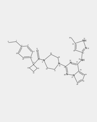 CCc1ccc(C2(C(=O)N3CCN(c4nc(Nc5cc(C)[nH]n5)c5cccn5n4)CC3)CCC2)cc1